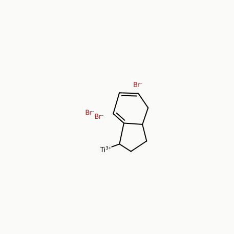 [Br-].[Br-].[Br-].[Ti+3][CH]1CCC2CC=CC=C12